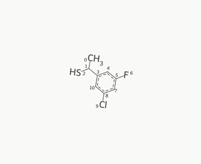 CC(S)c1cc(F)cc(Cl)c1